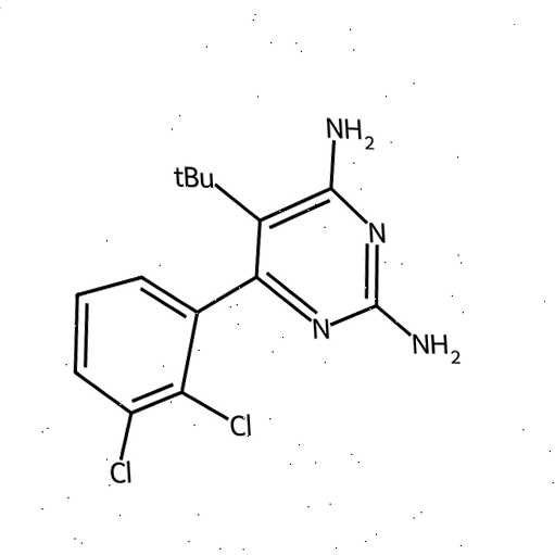 CC(C)(C)c1c(N)nc(N)nc1-c1cccc(Cl)c1Cl